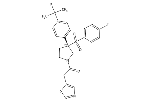 O=C(Cc1cncs1)N1CC[C@](c2ccc(C(F)(C(F)(F)F)C(F)(F)F)cc2)(S(=O)(=O)c2ccc(F)cc2)C1